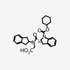 O=C(O)CN(C(=O)[C@H]1Cc2ccccc2N1C(=O)OC1CCCCC1)C1Cc2ccccc2C1